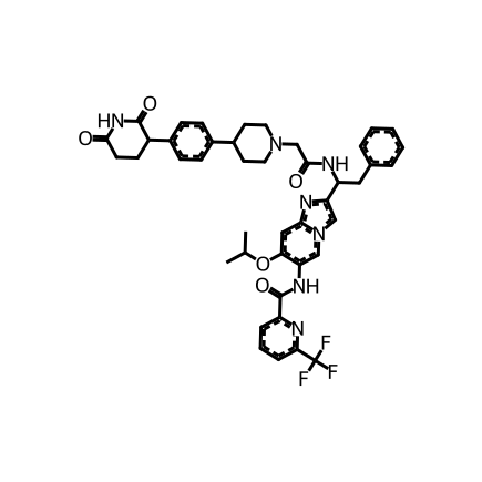 CC(C)Oc1cc2nc(C(Cc3ccccc3)NC(=O)CN3CCC(c4ccc(C5CCC(=O)NC5=O)cc4)CC3)cn2cc1NC(=O)c1cccc(C(F)(F)F)n1